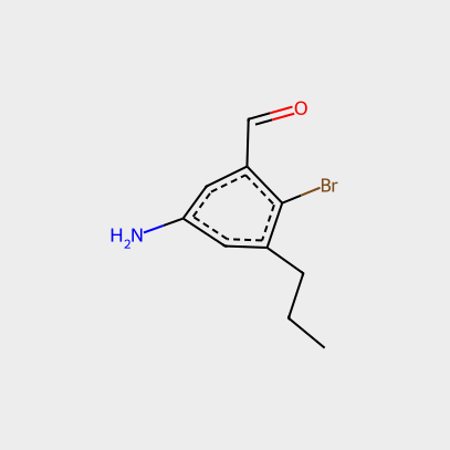 CCCc1cc(N)cc(C=O)c1Br